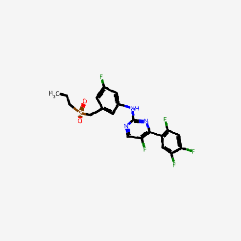 CCCS(=O)(=O)Cc1cc(F)cc(Nc2ncc(F)c(-c3cc(F)c(F)cc3F)n2)c1